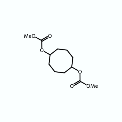 COC(=O)OC1CCCC(OC(=O)OC)CCC1